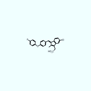 CC1=C(CC(=O)O)c2cc(Cl)ccc2/C1=C/c1ccc(Oc2ccc(F)cc2)cc1